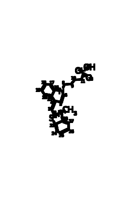 C[n+]1c(/C=C2\C=CN(CCCCS(=O)(=O)O)c3ccccc32)sc2ccccc21